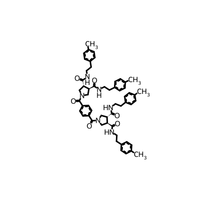 Cc1ccc(CCNC(=O)[C@H]2CN(C(=O)c3ccc(C(=O)N4C[C@H](C(=O)NCCc5ccc(C)cc5)[C@@H](C(=O)NCCc5ccc(C)cc5)C4)cc3)C[C@@H]2C(=O)NCCc2ccc(C)cc2)cc1